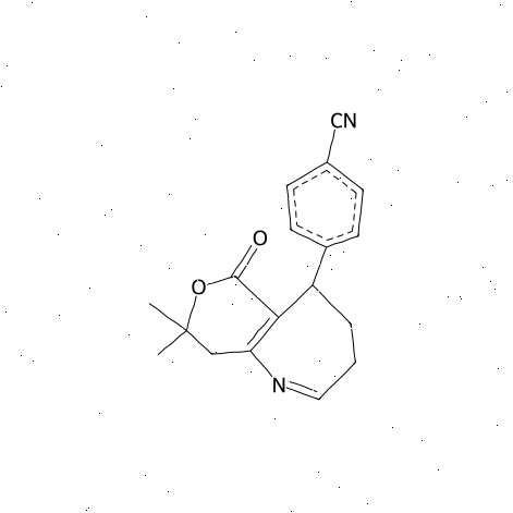 CC1(C)CC2=C(C(=O)O1)C(c1ccc(C#N)cc1)CCC=N2